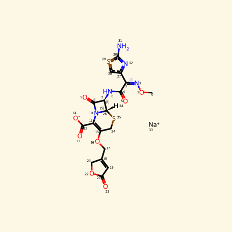 CO/N=C(\C(=O)N[C@@H]1C(=O)N2C(C(=O)[O-])=C(OCC3=CC(=O)OC3)CS[C@@H]12)c1csc(N)n1.[Na+]